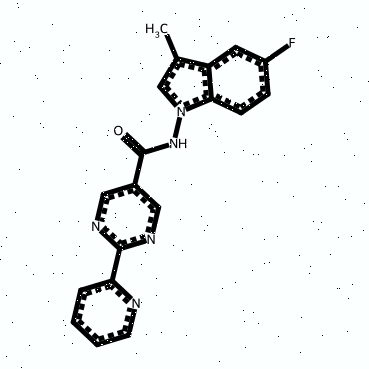 Cc1cn(NC(=O)c2cnc(-c3ccccn3)nc2)c2ccc(F)cc12